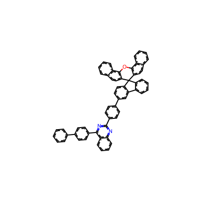 c1ccc(-c2ccc(-c3nc(-c4ccc(-c5ccc6c(c5)-c5ccccc5C65c6ccc7ccccc7c6Oc6c5ccc5ccccc65)cc4)nc4ccccc34)cc2)cc1